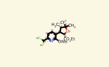 CCOC(=O)[C@H]1OC(C)(C(F)(F)F)[C@@H](C)C1c1ccc(C(F)F)nc1OC